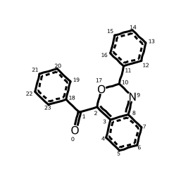 O=C(C1=c2ccccc2=NC(c2ccccc2)O1)c1ccccc1